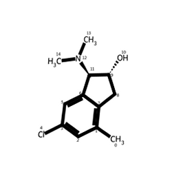 Cc1cc(Cl)cc2c1C[C@@H](O)[C@@H]2N(C)C